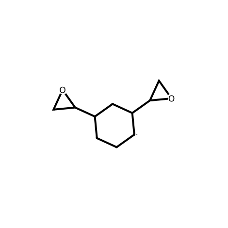 [CH]1CCC(C2CO2)CC1C1CO1